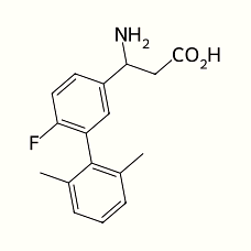 Cc1cccc(C)c1-c1cc(C(N)CC(=O)O)ccc1F